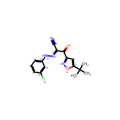 CC(C)(C)c1cc(C(=O)/C(C#N)=N/Nc2cccc(Cl)c2)no1